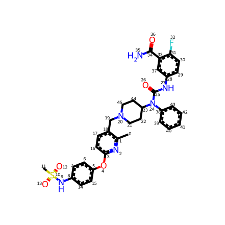 Cc1nc(Oc2ccc(NS(C)(=O)=O)cc2)ccc1CN1CCC(N(C(=O)Nc2ccc(F)c(C(N)=O)c2)c2ccccc2)CC1